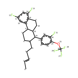 CC=CCCC1CCC2c3cc(F)cc(F)c3CCC2C1c1ccc(OC(F)(F)F)c(F)c1